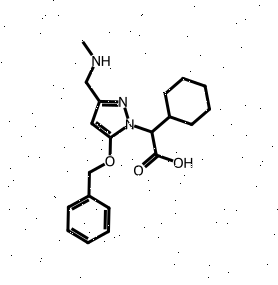 CNCc1cc(OCc2ccccc2)n(C(C(=O)O)C2CCCCC2)n1